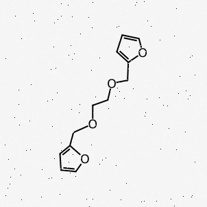 c1coc(COCCOCc2ccco2)c1